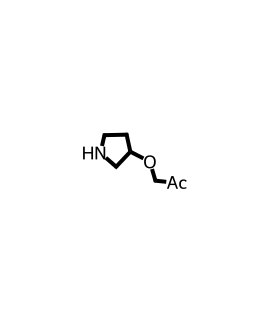 CC(=O)COC1CCNC1